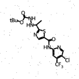 CC(NNC(=O)OC(C)(C)C)c1ncc(C(=O)Nc2cc(C(F)(F)F)c(Cl)cn2)s1